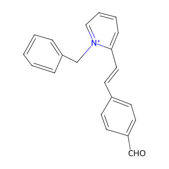 O=Cc1ccc(/C=C/c2cccc[n+]2Cc2ccccc2)cc1